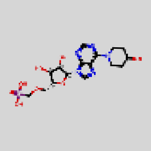 O=P(O)(O)COC[C@H]1O[C@@H](n2cnc3c(N4CCC(O)CC4)ncnc32)[C@H](O)[C@@H]1O